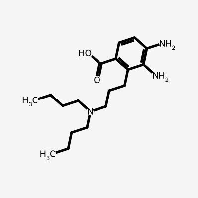 CCCCN(CCCC)CCCc1c(C(=O)O)ccc(N)c1N